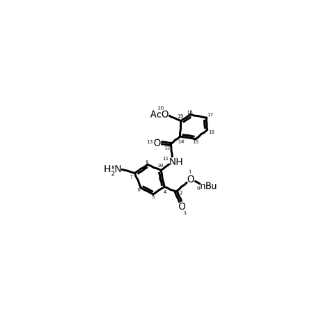 CCCCOC(=O)c1ccc(N)cc1NC(=O)c1ccccc1OC(C)=O